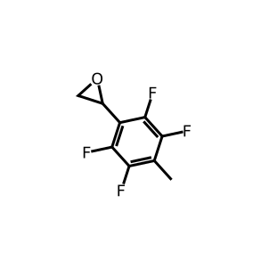 Cc1c(F)c(F)c(C2CO2)c(F)c1F